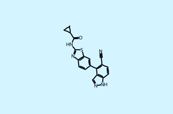 N#Cc1ccc2[nH]ncc2c1-c1ccc2nc(NC(=O)C3CC3)sc2c1